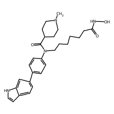 CN1CCC(C(=O)N(CCCCCCC(=O)NO)c2ccc(-c3ccc4cc[nH]c4c3)cc2)CC1